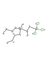 [CH2]C(CC(Cl)(Cl)Cl)[Si](C)(CCCC)CCCC